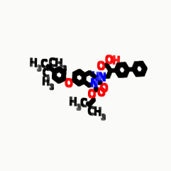 CC(C)COC(=O)[N+]1(C(=O)NCC(C(=O)O)c2ccc(-c3ccccc3)cc2)CCc2ccc(Oc3ccc(C(C)(C)C)cc3)cc2C1